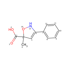 CC1(C(=O)O)C=C(c2ccccc2)NO1